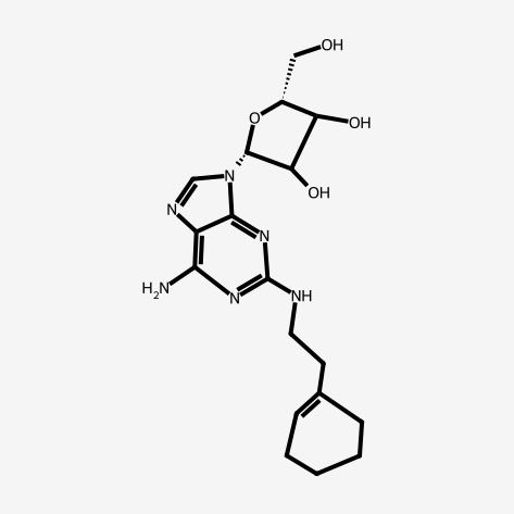 Nc1nc(NCCC2=CCCCC2)nc2c1ncn2[C@@H]1O[C@H](CO)C(O)C1O